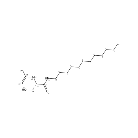 CCCCCCCCCCCCNC(=O)[C@H](CS)NC(C)=O